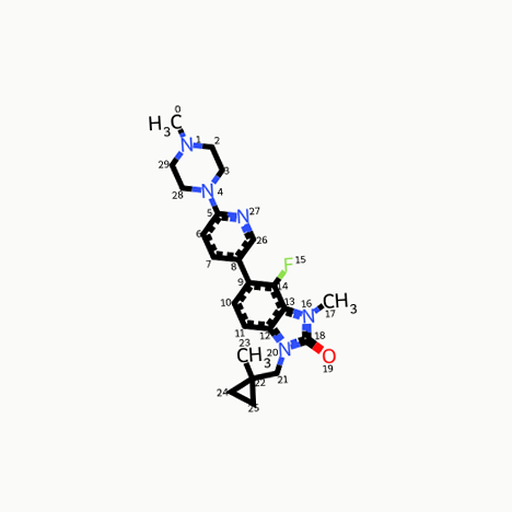 CN1CCN(c2ccc(-c3ccc4c(c3F)n(C)c(=O)n4CC3(C)CC3)cn2)CC1